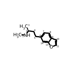 CN[C@@H](C)CCc1ccc2ccoc2c1